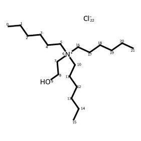 CCCCCC[N+](CCO)(CCCCCC)CCCCCC.[Cl-]